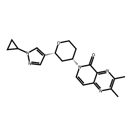 Cc1nc2ccn([C@H]3CCO[C@@H](c4cnn(C5CC5)c4)C3)c(=O)c2nc1C